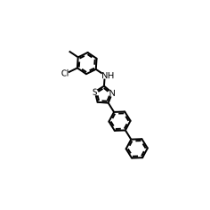 Cc1ccc(Nc2nc(-c3ccc(-c4ccccc4)cc3)cs2)cc1Cl